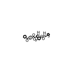 O=C(NCc1cccs1)Oc1ccc(F)c2c(C(=O)C(=O)N3CCN(C(=O)c4ccccc4)CC3)c[nH]c12